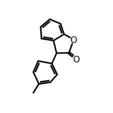 Cc1ccc(C2C(=O)Oc3ccccc32)cc1